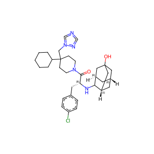 O=C([C@@H](Cc1ccc(Cl)cc1)NC1[C@@H]2C[C@H]3C[C@H]1CC(O)(C3)C2)N1CCC(Cn2cncn2)(C2CCCCC2)CC1